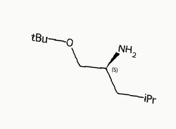 CC(C)C[C@H](N)COC(C)(C)C